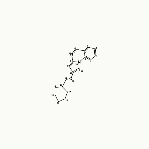 c1ccc2c(c1)cnc1cc(OCC3CCCCC3)nn12